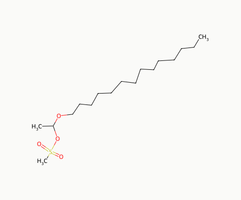 CCCCCCCCCCCCCCOC(C)OS(C)(=O)=O